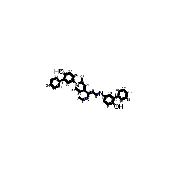 C\C=C/C(=C\C=N\c1ccc(O)c(-c2ccccc2)c1)C1=CC(C)N(c2ccc(O)c(-c3ccccc3)c2)C=C1